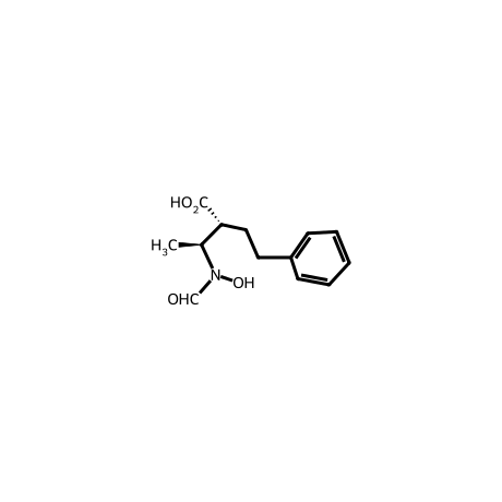 C[C@@H]([C@@H](CCc1ccccc1)C(=O)O)N(O)C=O